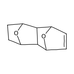 C1=CC2OC1C1C3CCC(O3)C21